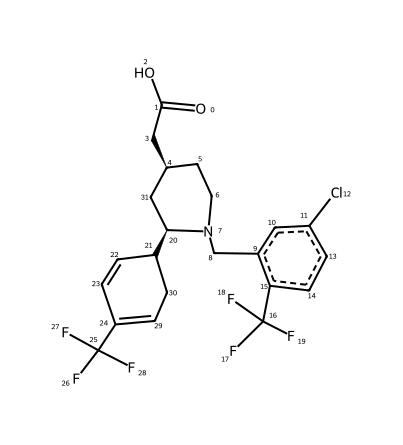 O=C(O)C[C@H]1CCN(Cc2cc(Cl)ccc2C(F)(F)F)[C@@H](C2C=CC(C(F)(F)F)=CC2)C1